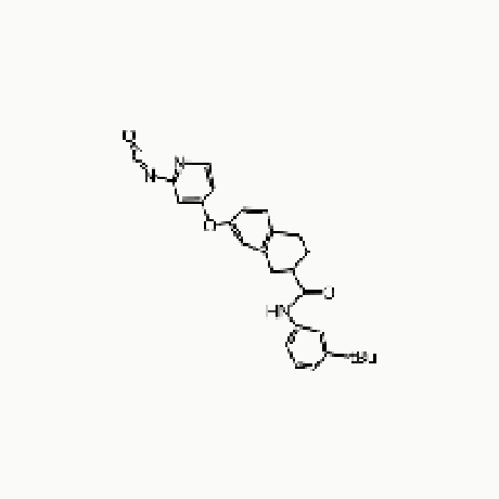 CC(C)(C)c1cccc(NC(=O)C2CCc3ccc(Oc4ccnc(N=C=O)c4)cc3C2)c1